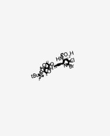 CC(C)(C)[Si](C)(C)O[C@@H]1CO[C@H]2[C@@H]1OC[C@H]2OCC#Cc1nc(Br)c(Cl)cc1NC(=O)O